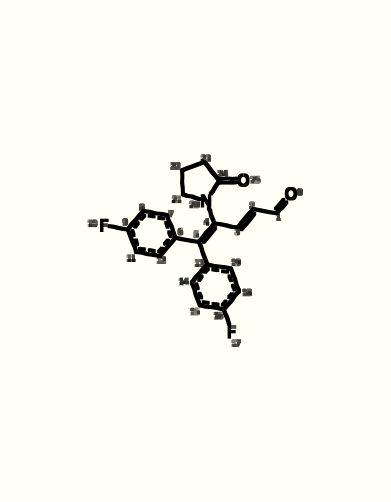 O=C/C=C/C(=C(c1ccc(F)cc1)c1ccc(F)cc1)N1CCCC1=O